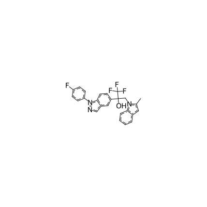 Cc1cc2ccccc2n1CC(O)(c1ccc2c(cnn2-c2ccc(F)cc2)c1)C(F)(F)F